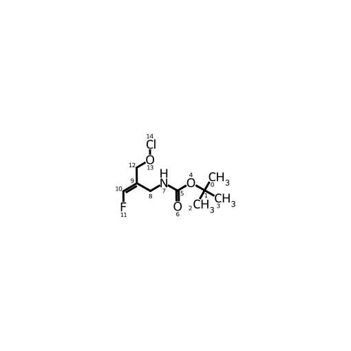 CC(C)(C)OC(=O)NC/C(=C\F)COCl